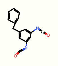 O=C=Nc1cc(Cc2ccccc2)cc(N=C=O)c1